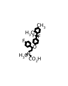 Cc1ccc(C(F)(F)c2ccc(OC(CCN(C)CC(=O)O)c3ccc(F)cc3)cc2)c(C)c1